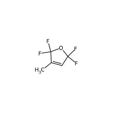 CC1=CC(F)(F)OC1(F)F